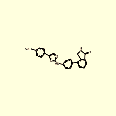 COc1ccc(-c2csc(Nc3ccc(-c4cccc5c4CNC5=O)cc3)n2)cc1